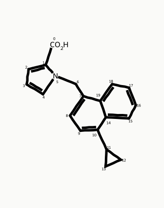 O=C(O)c1cccn1Cc1ccc(C2CC2)c2ccccc12